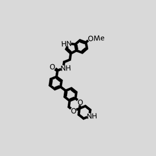 COc1ccc2c(CCNC(=O)c3cccc(-c4ccc5c(c4)COC4(CCNCC4)O5)c3)c[nH]c2c1